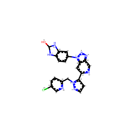 OC1Nc2ccc(-n3nnc4cnc(-c5ccnn5Cc5ccc(Cl)cn5)cc43)cc2N1